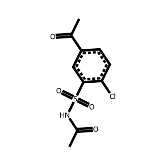 CC(=O)NS(=O)(=O)c1cc(C(C)=O)ccc1Cl